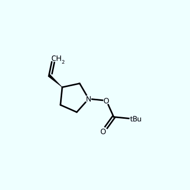 C=C[C@@H]1CCN(OC(=O)C(C)(C)C)C1